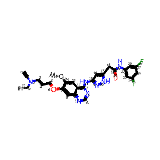 C#CN(CCCOc1cc2ncnc(Nc3cc(CC(=O)Nc4cc(F)cc(F)c4)[nH]n3)c2cc1OC)CC(C)C